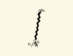 CCCCC=CCCCCCCCCCCCOS(C)(=O)=O